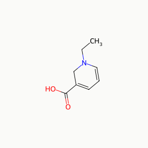 CCN1C=CC=C(C(=O)O)C1